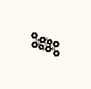 Fc1ccc(N(c2ccccc2)c2ccccc2)c(F)[c]1[Ti]([C]1=CC=CC1)([C]1=CC=CC1)[c]1c(F)ccc(N(c2ccccc2)c2ccccc2)c1F